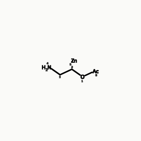 CC(=O)OCCN.[Zn]